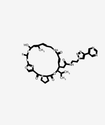 CC1=C\C(O)CC(F)Cc2nc(co2)C(=O)N2CCCC2C(=O)OC(C(C)C)C(CC(=O)NCCn2cc(-c3cncnc3)nn2)/C=C/C(=O)NC\C=C\1